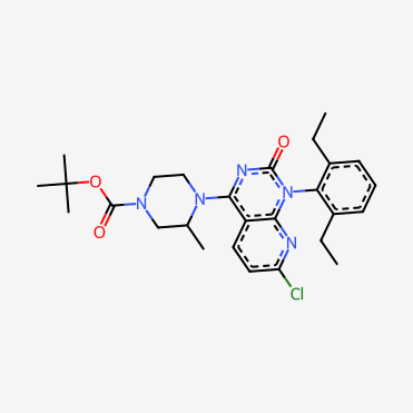 CCc1cccc(CC)c1-n1c(=O)nc(N2CCN(C(=O)OC(C)(C)C)CC2C)c2ccc(Cl)nc21